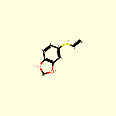 C=CSc1ccc2c(c1)OCO2